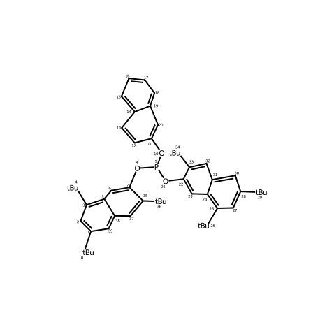 CC(C)(C)c1cc(C(C)(C)C)c2cc(OP(Oc3ccc4ccccc4c3)Oc3cc4c(C(C)(C)C)cc(C(C)(C)C)cc4cc3C(C)(C)C)c(C(C)(C)C)cc2c1